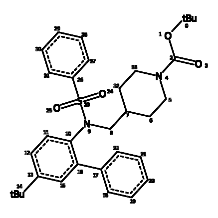 CC(C)(C)OC(=O)N1CCC(CN(c2ccc(C(C)(C)C)cc2-c2ccccc2)S(=O)(=O)c2ccccc2)CC1